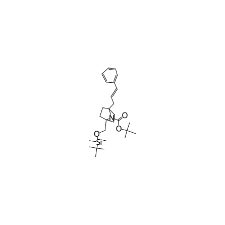 CC(C)(C)OC(=O)N1C2(C/C=C/c3ccccc3)CCC1(CO[Si](C)(C)C(C)(C)C)CC2